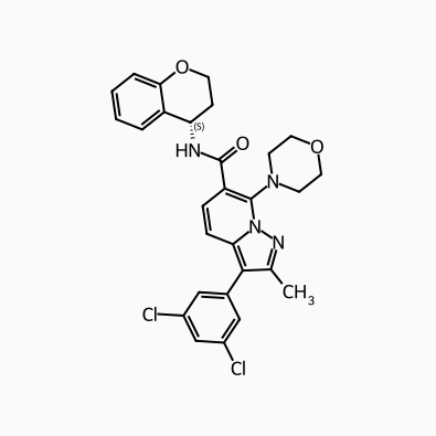 Cc1nn2c(N3CCOCC3)c(C(=O)N[C@H]3CCOc4ccccc43)ccc2c1-c1cc(Cl)cc(Cl)c1